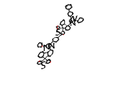 c1ccc(-c2ccc(-c3cc(-c4cccc5c4-c4ccccc4C54c5ccccc5Sc5c(-c6ccc(-c7cc(-c8ccccc8)nc(-c8cccc9c8-c8ccccc8C98c9ccccc9Sc9ccccc98)n7)cc6)cccc54)nc(-c4ccccc4)n3)cc2)cc1